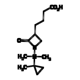 CC1([Si](C)(C)N2CC(CCCC(=O)O)C2=O)CC1